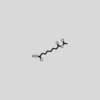 CC(=O)OC(=O)CCCCCCC(=O)O